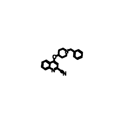 N#Cc1cc(OC2CCN(Cc3ccccc3)CC2)c2ccccc2n1